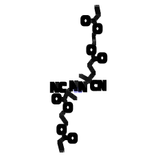 C=CC(=O)OCCOC(=O)CCC(C)(C#N)/N=N/C(C)(C#N)C(=O)OCCOC(=O)C=C